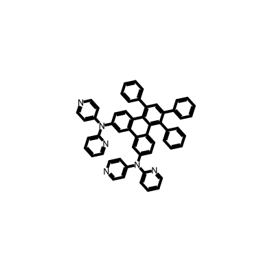 c1ccc(-c2cc(-c3ccccc3)c3c4ccc(N(c5ccncc5)c5ccccn5)cc4c4cc(N(c5ccncc5)c5ccccn5)ccc4c3c2-c2ccccc2)cc1